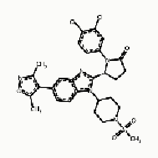 Cc1noc(C)c1-c1ccc2c(c1)nc([C@@H]1CCC(=O)N1c1ccc(Cl)c(Cl)c1)n2C1CCN(S(C)(=O)=O)CC1